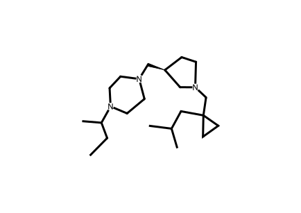 CCC(C)N1CCN(C[C@H]2CCN(CC3(CC(C)C)CC3)C2)CC1